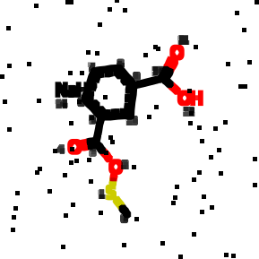 CSOC(=O)c1cccc(C(=O)O)c1.[NaH]